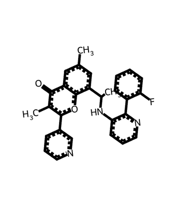 Cc1cc(C(C)Nc2cccnc2-c2ccccc2F)c2oc(-c3cccnc3)c(C)c(=O)c2c1